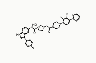 O=C(CN1CC[C@@](O)(C(=O)Nc2ccc3[nH]nc(-c4ccc(F)cc4)c3c2)C1)N1CCN(c2ccc(-c3ncccn3)c(F)c2F)CC1